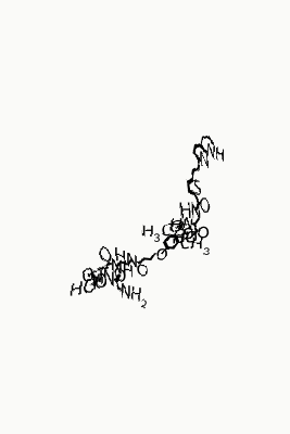 Cc1cc(OCCCC(=O)NCCNC(=O)C(CS(=O)(=O)O)NC(=O)CN)cc(C)c1S(=O)(=O)NC(CNC(=O)c1ccc(CCc2ccc3c(n2)NCCC3)s1)C(=O)O